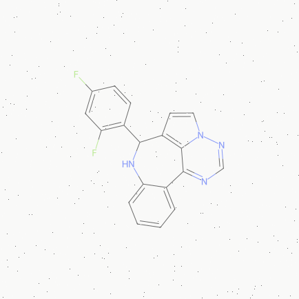 Fc1ccc(C2Nc3ccccc3-c3ncnn4ccc2c34)c(F)c1